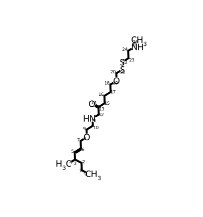 CCCC(C)/C=C/COCCNCC(=O)CCCCOCSSCCNC